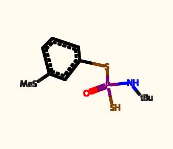 CSc1cccc(SP(=O)(S)NC(C)(C)C)c1